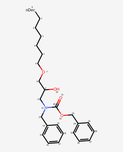 CCCCCCCCCCCCCCCCOCC(O)CN(Cc1ccccc1)C(=O)OCc1ccccc1